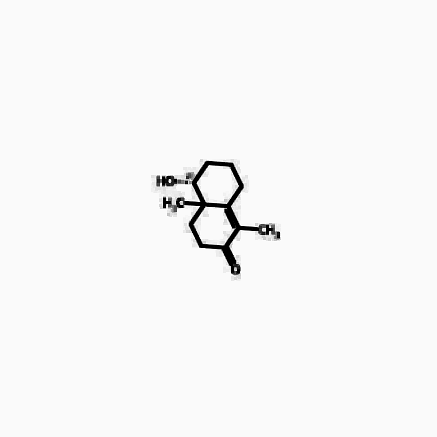 CC1=C2CCC[C@@H](O)C2(C)CCC1=O